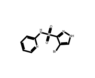 O=S(=O)(Nc1ccccn1)c1n[nH]cc1Br